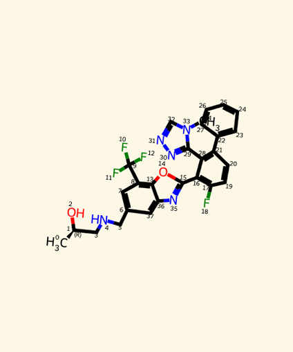 C[C@@H](O)CNCc1cc(C(F)(F)F)c2oc(-c3c(F)ccc(-c4ccccc4)c3-c3nncn3C)nc2c1